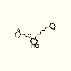 CN1CCCC1CCOc1ccccc1CCCCCc1ccccc1.Cl